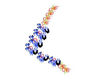 CN(C)C(On1nnc2cccnc21)=[N+](C)C.CN(C)C(On1nnc2cccnc21)=[N+](C)C.CN(C)C(On1nnc2cccnc21)=[N+](C)C.CN(C)C(On1nnc2cccnc21)=[N+](C)C.CN(C)C(On1nnc2cccnc21)=[N+](C)C.CN(C)C(On1nnc2cccnc21)=[N+](C)C.O=P([O-])(F)F.O=P([O-])(F)F.O=P([O-])(F)F.O=P([O-])(F)F.O=P([O-])(F)F.O=P([O-])(F)F